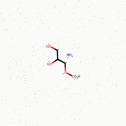 N.O=C(O)OCC(O)CO